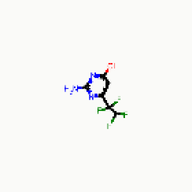 Nc1nc(O)cc(C(F)(F)C(F)F)n1